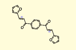 O=C(/C=C/c1ccco1)c1ccc(C(=O)/C=C/c2ccco2)cc1